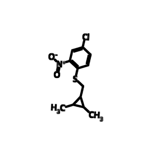 CC1C(C)C1CSc1ccc(Cl)cc1[N+](=O)[O-]